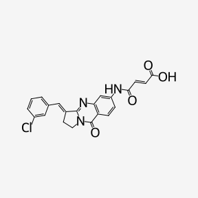 O=C(O)/C=C/C(=O)Nc1ccc2c(=O)n3c(nc2c1)C(=Cc1cccc(Cl)c1)CC3